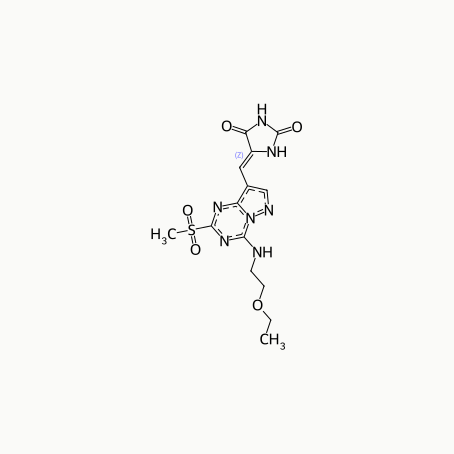 CCOCCNc1nc(S(C)(=O)=O)nc2c(/C=C3\NC(=O)NC3=O)cnn12